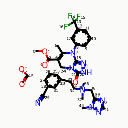 COC(=O)C1=C(C)N(c2cccc(C(F)(F)F)c2)c2n[nH]c(=O)n2[C@@H]1c1ccc(C#N)cc1CC[N+](C)(C)Cc1ncnn1C.O=C[O-]